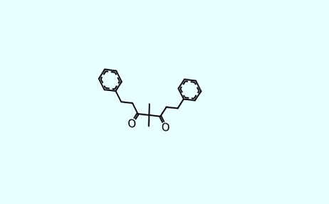 CC(C)(C(=O)CCc1ccccc1)C(=O)CCc1ccccc1